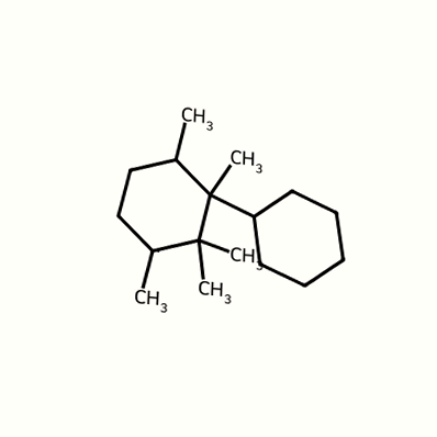 C[C]1CCC(C)C(C)(C2CCCCC2)C1(C)C